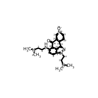 CN(C)CCNc1ccc2c3c(nn2CCN(C)C)-c2cc[n+]([O-])cc2C(=O)c13